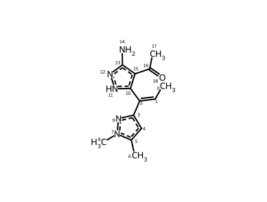 C/C=C(/c1cc(C)n(C)n1)c1[nH]nc(N)c1C(C)=O